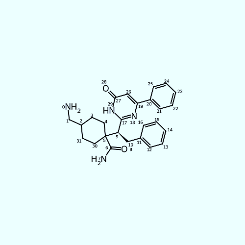 NCC1CCC(C(N)=O)([C@H](Cc2ccccc2)c2nc(-c3ccccc3)cc(=O)[nH]2)CC1